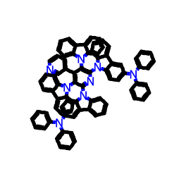 c1ccc(N(c2ccccc2)c2ccc3c(c2)c2ccccc2n3-c2nc(-n3c4ccccc4c4cc(N(c5ccccc5)c5ccccc5)ccc43)c(-n3c4ccccc4c4ccccc43)c(-c3cccnc3)c2-n2c3ccccc3c3ccccc32)cc1